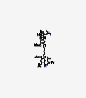 C/C=C(/C)CC(/C=N\c1cc(OCCCCCOc2cc(N(C)C(O)C(C/C(C)=C\C)C(C)CC)c(C(C)=O)cc2OC)c(OC)cc1C(C)=O)CCC